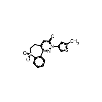 Cc1cc(-n2nc3c(cc2=O)CCS(=O)(=O)c2ccccc2-3)cs1